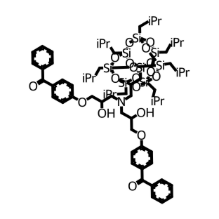 CC(C)C[Si]12O[Si]3(CCCN(CC(O)COc4ccc(C(=O)c5ccccc5)cc4)CC(O)COc4ccc(C(=O)c5ccccc5)cc4)O[Si]4(CC(C)C)O[Si](CC(C)C)(O1)O[Si]1(CC(C)C)O[Si](CC(C)C)(O2)O[Si](CC(C)C)(O3)O[Si](CC(C)C)(O4)O1